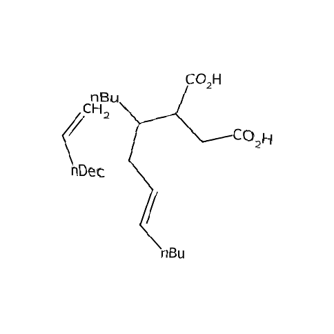 C=CCCCCCCCCCC.CCCCC=CCC(CCCC)C(CC(=O)O)C(=O)O